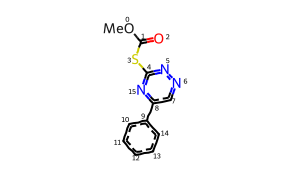 COC(=O)Sc1nncc(-c2ccccc2)n1